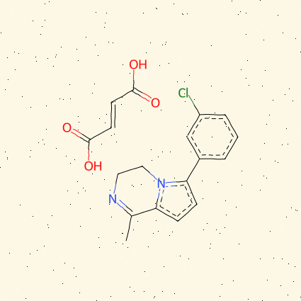 CC1=NCCn2c1ccc2-c1cccc(Cl)c1.O=C(O)C=CC(=O)O